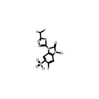 CCn1c(=O)n(-c2nnc(C(F)F)s2)c2cc(S(=O)(=O)Cl)c(F)cc21